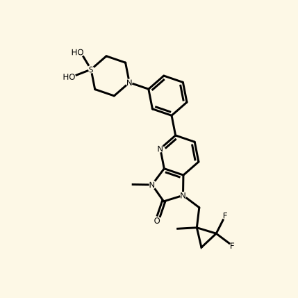 Cn1c(=O)n(CC2(C)CC2(F)F)c2ccc(-c3cccc(N4CCS(O)(O)CC4)c3)nc21